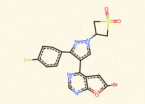 O=S1(=O)CC(n2cc(-c3ncnc4oc(Br)cc34)c(-c3ccc(F)cc3)n2)C1